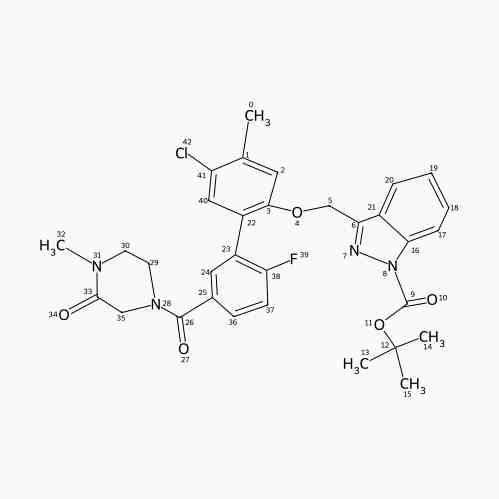 Cc1cc(OCc2nn(C(=O)OC(C)(C)C)c3ccccc23)c(-c2cc(C(=O)N3CCN(C)C(=O)C3)ccc2F)cc1Cl